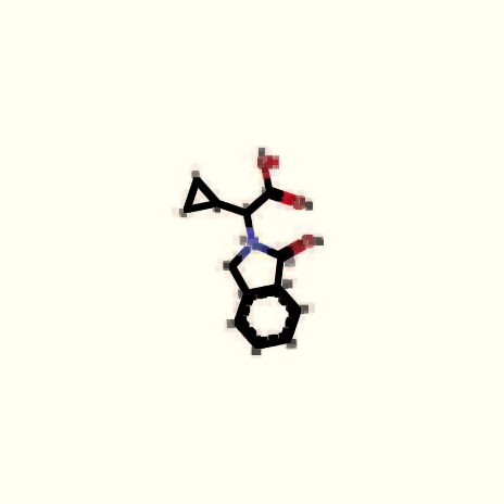 O=C(O)C(C1CC1)N1Cc2ccccc2C1=O